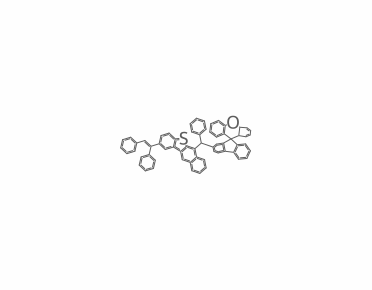 C1=CC2Oc3ccccc3C3(c4ccccc4-c4ccc(C(c5ccccc5)c5c6ccccc6cc6c5sc5ccc(/C(=C/c7ccccc7)c7ccccc7)cc56)cc43)C2C=C1